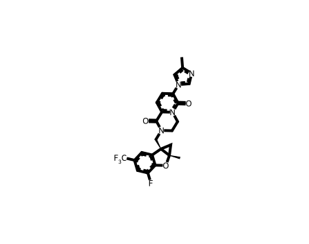 Cc1cn(-c2ccc3n(c2=O)CCN(C[C@@]24C[C@]2(C)Oc2c(F)cc(C(F)(F)F)cc24)C3=O)cn1